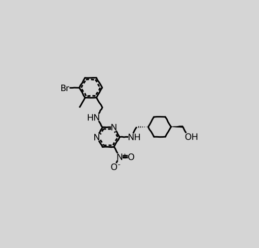 Cc1c(Br)cccc1CNc1ncc([N+](=O)[O-])c(NC[C@H]2CC[C@H](CO)CC2)n1